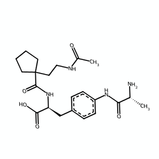 CC(=O)NCCC1(C(=O)N[C@@H](Cc2ccc(NC(=O)[C@@H](C)N)cc2)C(=O)O)CCCC1